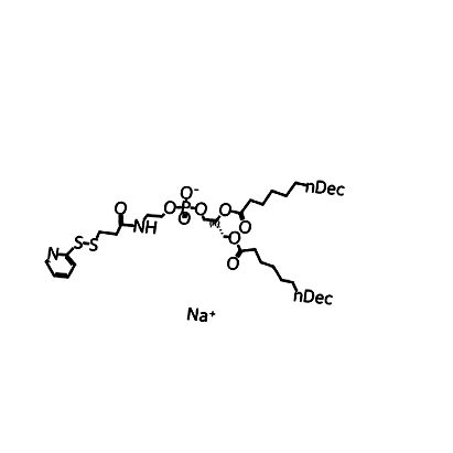 CCCCCCCCCCCCCCCC(=O)OC[C@H](COP(=O)([O-])OCCNC(=O)CCSSc1ccccn1)OC(=O)CCCCCCCCCCCCCCC.[Na+]